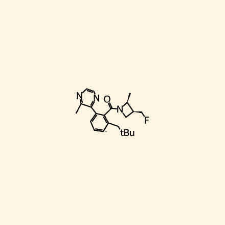 Cc1nccnc1-c1cc[c]c(CC(C)(C)C)c1C(=O)N1C[C@H](CF)[C@@H]1C